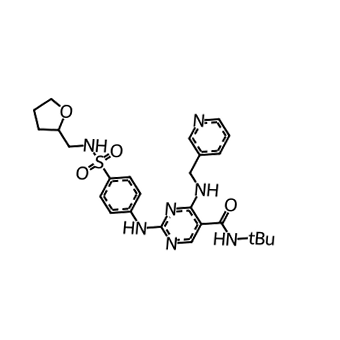 CC(C)(C)NC(=O)c1cnc(Nc2ccc(S(=O)(=O)NCC3CCCO3)cc2)nc1NCc1cccnc1